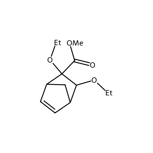 CCOC1C2C=CC(C2)C1(OCC)C(=O)OC